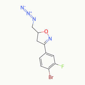 [N-]=[N+]=NCC1CC(c2ccc(Br)c(F)c2)=NO1